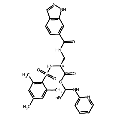 CCCC(Nc1ccccn1)OC(=O)[C@H](CNC(=O)c1ccc2cn[nH]c2c1)NS(=O)(=O)c1c(C)cc(C)cc1C